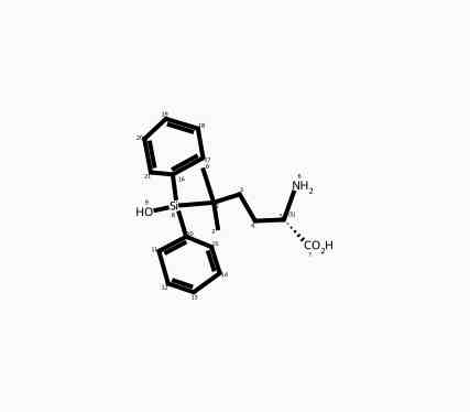 CC(C)(CC[C@H](N)C(=O)O)[Si](O)(c1ccccc1)c1ccccc1